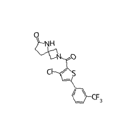 O=C1CCC2(CN(C(=O)c3sc(-c4cccc(C(F)(F)F)c4)cc3Cl)C2)N1